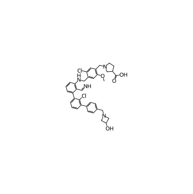 COc1cc(CNc2cccc(-c3cccc(-c4ccc(CN5CC(O)C5)cc4)c3Cl)c2C=N)c(Cl)cc1CN1CCC(C(=O)O)C1